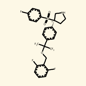 O=S(=O)(c1ccc(F)cc1)[C@]1(c2ccc(C(OCc3c(F)cccc3F)(C(F)(F)F)C(F)(F)F)cc2)CCNC1